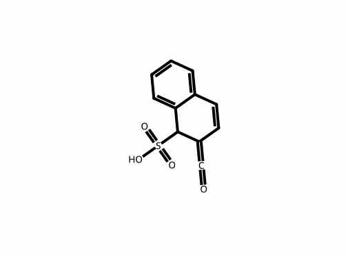 O=C=C1C=Cc2ccccc2C1S(=O)(=O)O